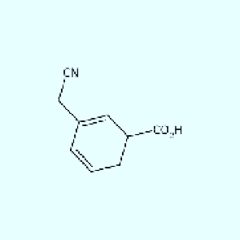 N#CCC1=CC(C(=O)O)CC=C1